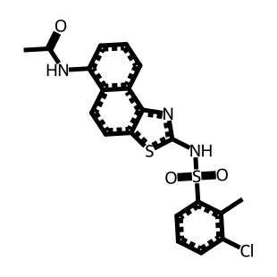 CC(=O)Nc1cccc2c1ccc1sc(NS(=O)(=O)c3cccc(Cl)c3C)nc12